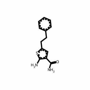 NC(=O)c1cc(CCc2ccccc2)sc1N